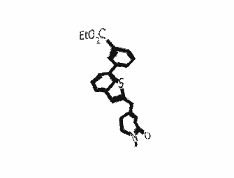 CCOC(=O)c1cccc(-c2cccc3cc(Cc4ccn(C)c(=O)c4)sc23)c1